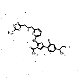 Cc1nnc(CNCc2cccc(Nc3sc(-c4ccc(C(C)CO)cc4F)cc3C(N)=O)n2)o1